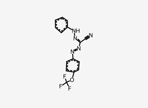 N#CC(N=Nc1ccc(OC(F)(F)F)cc1)=NNc1ccccc1